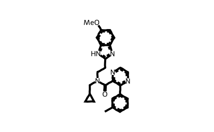 COc1ccc2nc(CCN(CC3CC3)C(=O)c3nccnc3-c3cccc(C)c3)[nH]c2c1